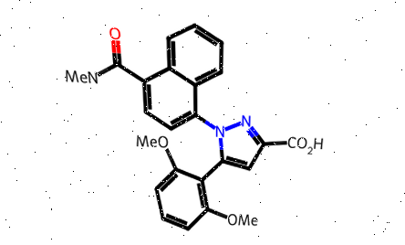 CNC(=O)c1ccc(-n2nc(C(=O)O)cc2-c2c(OC)cccc2OC)c2ccccc12